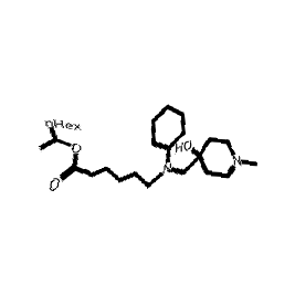 CCCCCCC(C)OC(=O)CCCCCN(CC1(O)CCN(C)CC1)C1CCCCC1